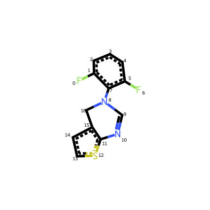 Fc1cccc(F)c1N1C=Nc2sccc2C1